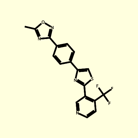 Cc1nc(-c2ccc(-c3csc(-c4cnccc4C(F)(F)F)n3)cc2)no1